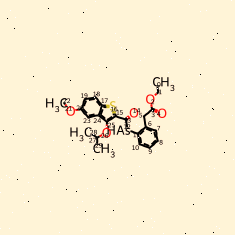 CCOC(=O)Cc1ccccc1[AsH]C(=O)c1sc2ccc(OC)cc2c1OC(C)C